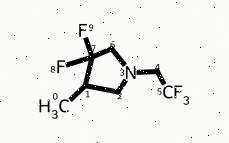 CC1CN(CC(F)(F)F)CC1(F)F